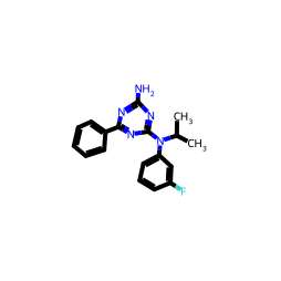 CC(C)N(c1cccc(F)c1)c1nc(N)nc(-c2ccccc2)n1